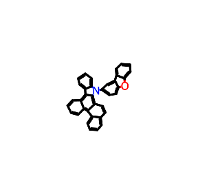 c1ccc2c(c1)ccc1c2c2ccccc2c2c3ccccc3n(-c3ccc4oc5ccccc5c4c3)c12